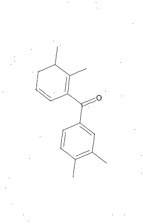 CC1=C(C(=O)c2ccc(C)c(C)c2)C=CCC1C